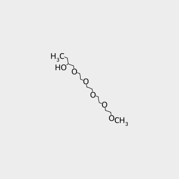 CCC(O)COCCOCCOCCOCCOC